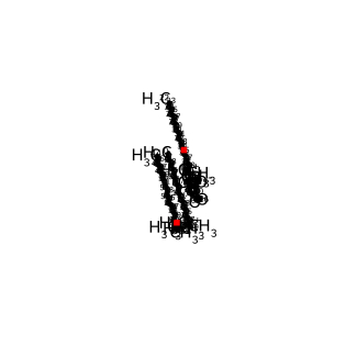 CCCCCCCCCCCCCCCCCC[N+](C)(C)C.CCCCCCCCCCCCCCCCCC[N+](C)(C)C.CCCCCCCCCCCCCCCCCC[N+](C)(C)C.O=C([O-])c1ccc(C(=O)[O-])c(C(=O)[O-])c1